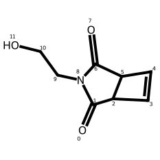 O=C1C2C=CC2C(=O)N1CCO